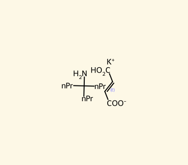 CCCC(N)(CCC)CCC.O=C([O-])/C=C/C(=O)O.[K+]